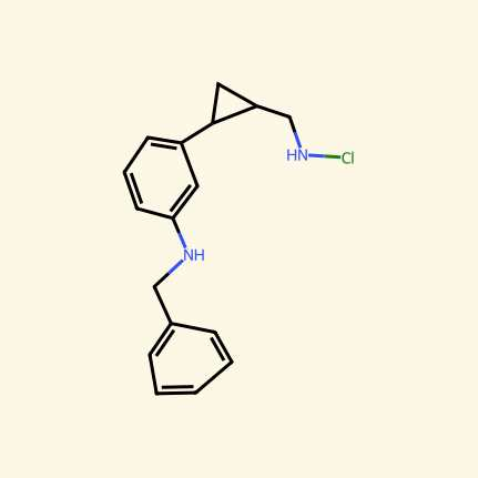 ClNCC1CC1c1cccc(NCc2ccccc2)c1